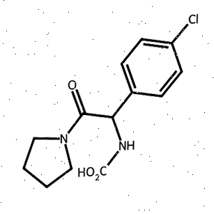 O=C(O)NC(C(=O)N1CCCC1)c1ccc(Cl)cc1